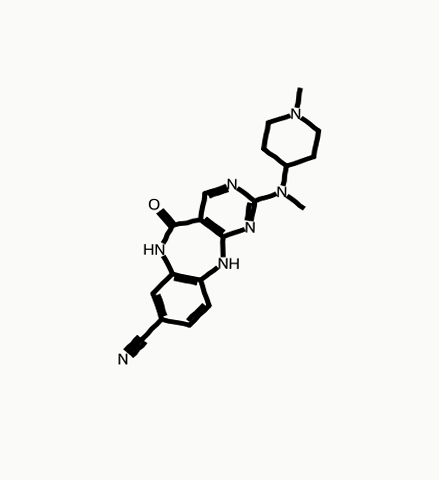 CN1CCC(N(C)c2ncc3c(n2)Nc2ccc(C#N)cc2NC3=O)CC1